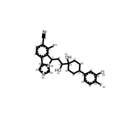 N#Cc1ccc2c(c1F)C(CC(O)C1(O)CCC(c3ccc(F)c(Cl)c3)CC1)n1cncc1-2